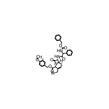 COc1ccc(COC(=O)C2C(CBr)=CS[C@H]3[C@@H](NC(=O)C(NC(=O)OCc4ccccc4)c4ccccc4)C(=O)N23)cc1